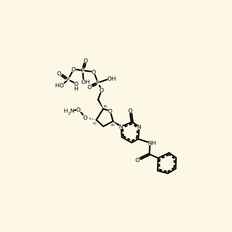 NOO[C@H]1C[C@H](n2ccc(NC(=O)c3ccccc3)nc2=O)O[C@@H]1COP(=O)(O)OP(=O)(O)OP(=O)(O)O